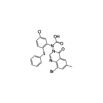 Cc1cc(Br)c2ncn(N(C(=O)O)c3cc(Cl)ccc3Sc3ccccc3)c(=O)c2c1